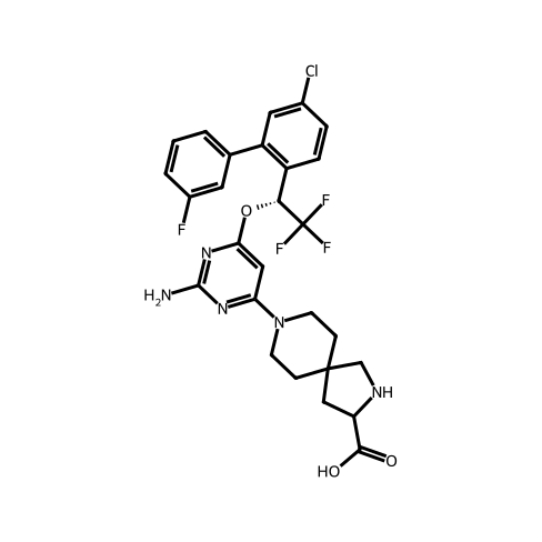 Nc1nc(O[C@H](c2ccc(Cl)cc2-c2cccc(F)c2)C(F)(F)F)cc(N2CCC3(CC2)CNC(C(=O)O)C3)n1